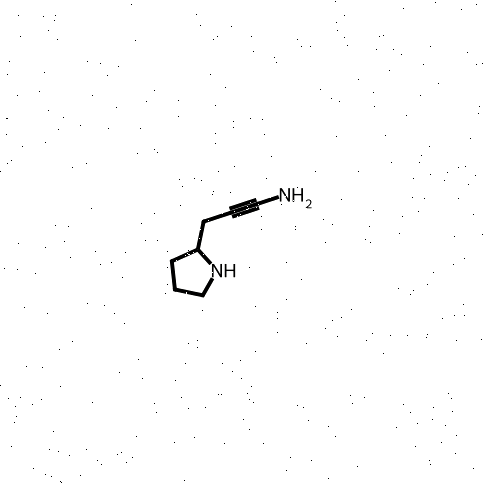 NC#CCC1CCCN1